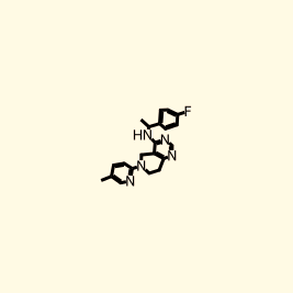 Cc1ccc(N2CCc3ncnc(NC(C)c4ccc(F)cc4)c3C2)nc1